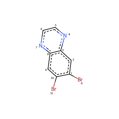 Brc1cc2nccnc2cc1Br